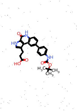 CC(C)(C)OC(=O)Nc1ccc(-c2ccc3[nH]c(=O)c4[nH]cc(CCC(=O)O)c4c3c2)cc1